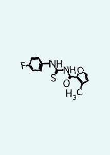 Cc1ccoc1C(=O)NC(=S)Nc1ccc(F)cc1